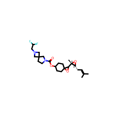 CC(C)=CC[C@H]1O[C@@]1(C)C1OC12CCC(OC(=O)N1CCC3(CN(CC(F)F)C3)C1)CC2